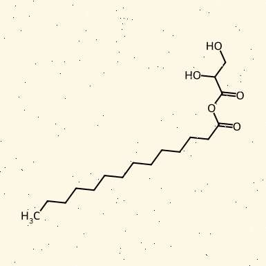 CCCCCCCCCCCCCC(=O)OC(=O)C(O)CO